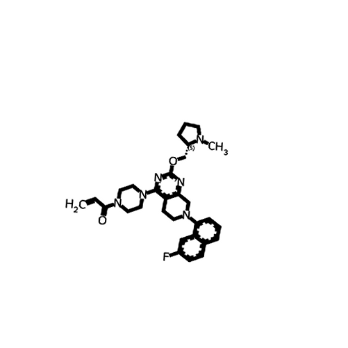 C=CC(=O)N1CCN(c2nc(OC[C@@H]3CCCN3C)nc3c2CCN(c2cccc4ccc(F)cc24)C3)CC1